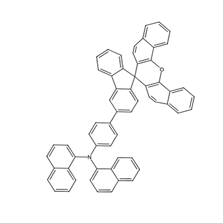 c1ccc2c(c1)-c1cc(-c3ccc(N(c4cccc5ccccc45)c4cccc5ccccc45)cc3)ccc1C21c2ccc3ccccc3c2Oc2c1ccc1ccccc21